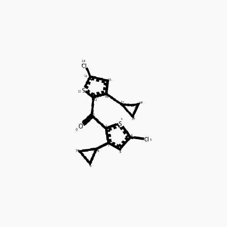 O=C(c1sc(Cl)cc1C1CC1)c1sc(Cl)cc1C1CC1